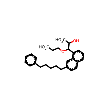 O=C(O)CCOC(c1cccc2ccc(CCCCCc3ccccc3)cc12)C(O)C(=O)O